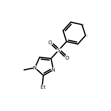 CCc1nc(S(=O)(=O)C2=C[C][C]C=C2)cn1C